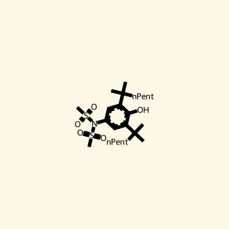 CCCCCC(C)(C)c1cc(N(S(C)(=O)=O)S(C)(=O)=O)cc(C(C)(C)CCCCC)c1O